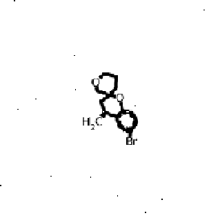 C=C1CC2(CCCOC2)Oc2ccc(Br)cc21